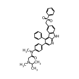 CC(C)N(C)CC(=O)N(C)c1ccc(-c2cnc3[nH]c4ccc(CS(=O)(=O)c5ccccc5)cc4c3c2-c2ccccc2)cc1